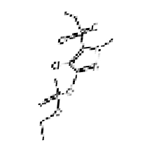 CCOP(C)(=S)Oc1nn(C)c(S(=O)(=O)CC)c1Cl